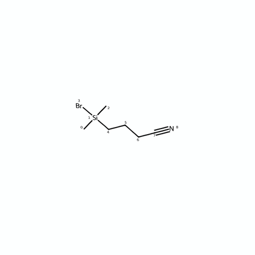 C[Si](C)(Br)CCCC#N